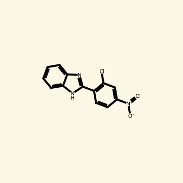 O=[N+]([O-])c1ccc(-c2nc3ccccc3[nH]2)c(Cl)c1